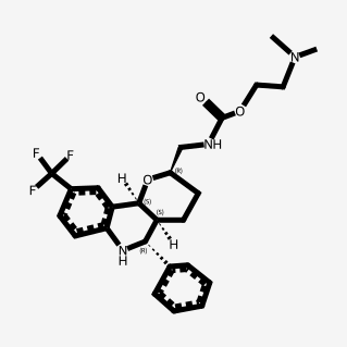 CN(C)CCOC(=O)NC[C@H]1CC[C@@H]2[C@H](O1)c1cc(C(F)(F)F)ccc1N[C@H]2c1ccccc1